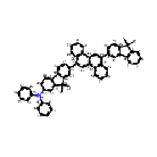 CC1(C)c2ccccc2-c2cc(-c3cc4c5ccccc5c(-c5ccc6c(c5)C(C)(C)c5cc(N(c7ccccc7)c7ccccc7)ccc5-6)cc4c4ccccc34)ccc21